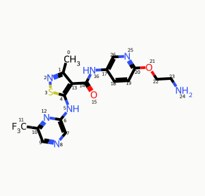 Cc1nsc(Nc2cncc(C(F)(F)F)n2)c1C(=O)Nc1ccc(OCCN)nc1